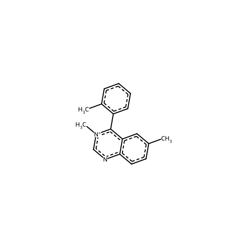 Cc1ccc2nc[n+](C)c(-c3ccccc3C)c2c1